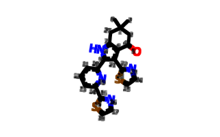 CC1(C)CC(=O)c2c([nH]c(-c3cccc(-c4nccs4)n3)c2-c2nccs2)C1